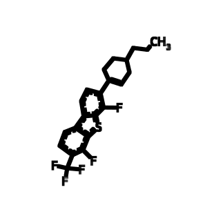 CCCC1CC=C(c2ccc3c(sc4c(F)c(C(F)(F)F)ccc43)c2F)CC1